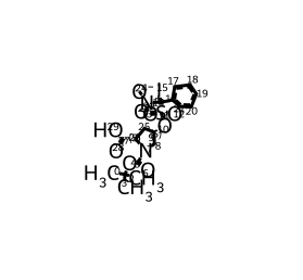 CC(C)(C)OC(=O)N1C[C@@H](OS(=O)(=O)C(I)(c2ccccc2)[N+](=O)[O-])C[C@H]1C(=O)O